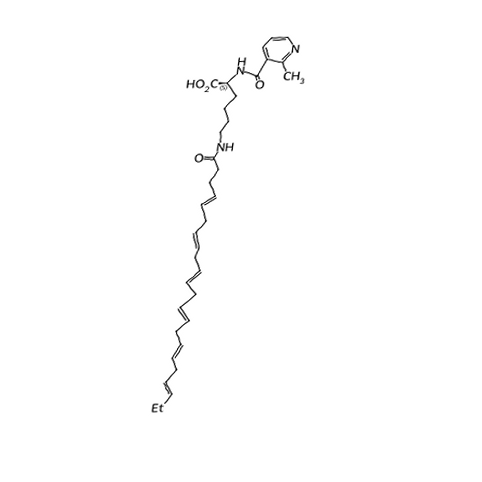 CCC=CCC=CCC=CCC=CCC=CCC=CCCC(=O)NCCCC[C@H](NC(=O)c1cccnc1C)C(=O)O